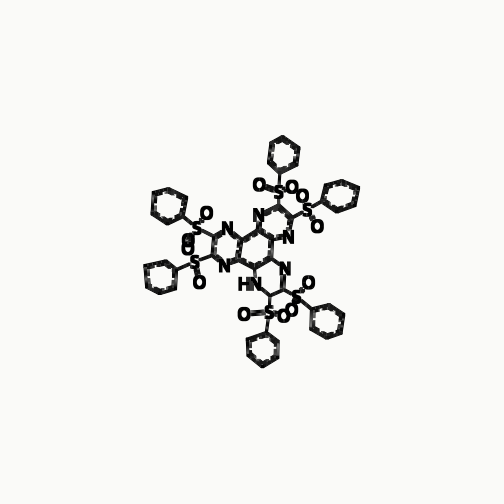 O=S(=O)(C1=Nc2c(c3nc(S(=O)(=O)c4ccccc4)c(S(=O)(=O)c4ccccc4)nc3c3nc(S(=O)(=O)c4ccccc4)c(S(=O)(=O)c4ccccc4)nc23)NC1S(=O)(=O)c1ccccc1)c1ccccc1